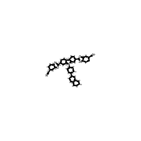 N#Cc1ccc2nc(-c3ccc4c5ccc(-c6nc7ccc(C#N)cc7o6)cc5n(-c5ccc(-c6ccc7ccccc7c6)cc5)c4c3)oc2c1